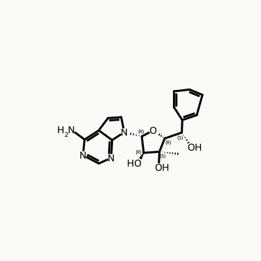 C[C@@]1(O)[C@@H]([C@@H](O)c2ccccc2)O[C@@H](n2ccc3c(N)ncnc32)[C@@H]1O